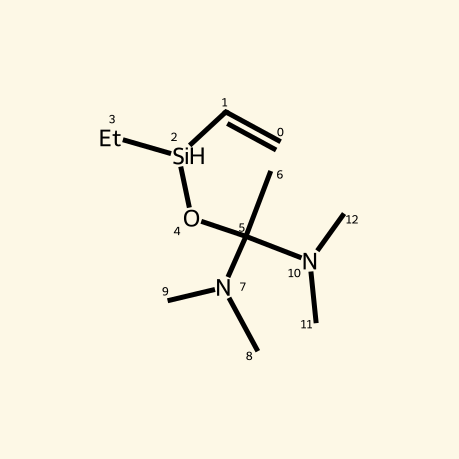 C=C[SiH](CC)OC(C)(N(C)C)N(C)C